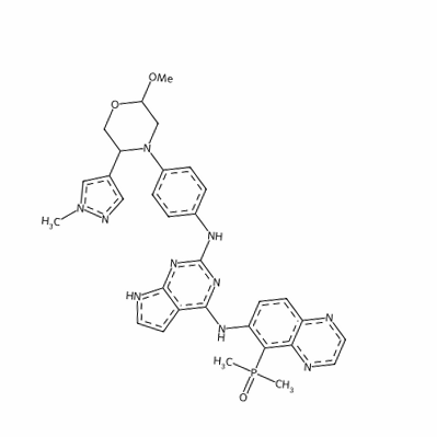 COC1CN(c2ccc(Nc3nc(Nc4ccc5nccnc5c4P(C)(C)=O)c4cc[nH]c4n3)cc2)C(c2cnn(C)c2)CO1